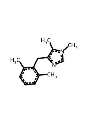 Cc1cccc(C)c1Cc1ncn(C)c1C